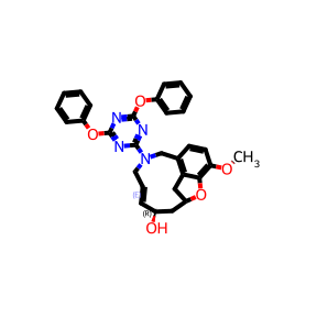 COc1ccc2c3c1OC(C3)C[C@@H](O)/C=C/CN(c1nc(Oc3ccccc3)nc(Oc3ccccc3)n1)C2